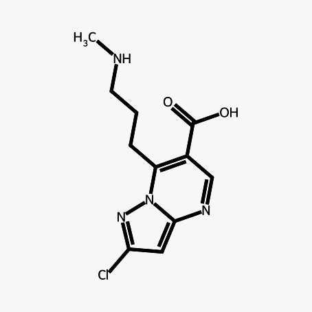 CNCCCc1c(C(=O)O)cnc2cc(Cl)nn12